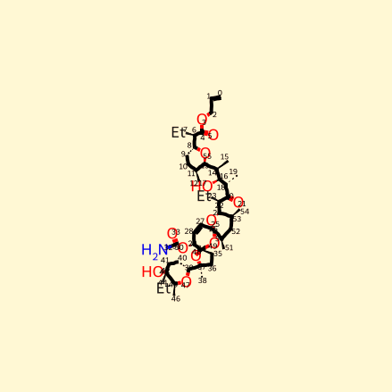 C=CCOC(=O)[C@H](CC)[C@H]1CC[C@H](C)[C@H]([C@@H](C)[C@H](O)[C@H](C)C(=O)[C@H](CC)[C@H]2O[C@]3(C=C[C@@H](OC(N)=O)[C@]4(CC[C@@](C)([C@H]5CC[C@](O)(CC)[C@H](C)O5)O4)O3)[C@H](C)C[C@@H]2C)O1